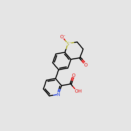 O=C1CC[S+]([O-])c2ccc(-c3cccnc3C(=O)O)cc21